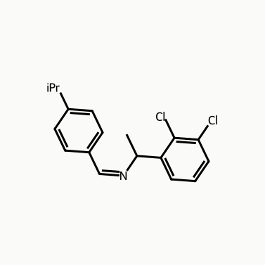 CC(C)c1ccc(/C=N\C(C)c2cccc(Cl)c2Cl)cc1